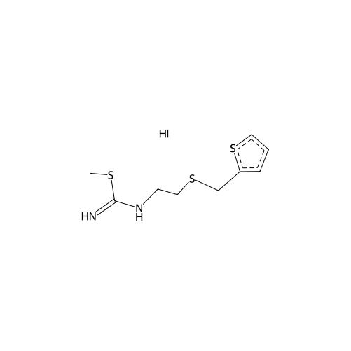 CSC(=N)NCCSCc1cccs1.I